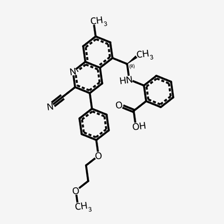 COCCOc1ccc(-c2cc3c([C@@H](C)Nc4ccccc4C(=O)O)cc(C)cc3nc2C#N)cc1